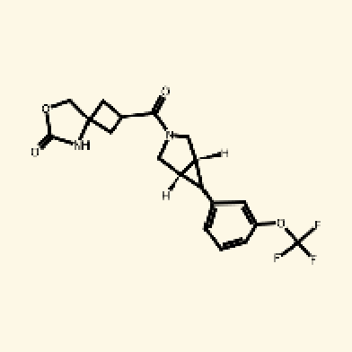 O=C1NC2(CO1)CC(C(=O)N1C[C@@H]3C(c4cccc(OC(F)(F)F)c4)[C@@H]3C1)C2